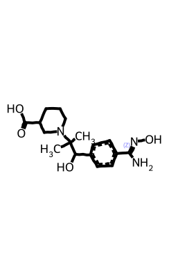 CC(C)(C(O)c1ccc(/C(N)=N/O)cc1)N1CCCC(C(=O)O)C1